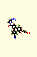 CC(C)(O)CC1OCc2cc(-c3ccc(C(=O)N4CC[C@H](N)C4)cc3-c3ccc(C#N)c(F)c3)c(F)cc21